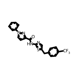 O=C(Nc1ncc(Cc2ccc(C(F)(F)F)cc2)s1)c1ccn(-c2ccccc2)n1